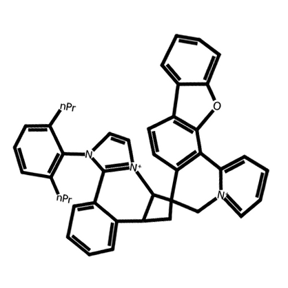 CCCc1cccc(CCC)c1-n1cc[n+]2c1-c1ccccc1C1CC3(C[n+]4ccccc4-c4c3ccc3c4oc4ccccc43)C12